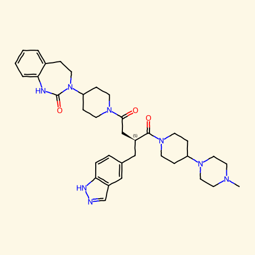 CN1CCN(C2CCN(C(=O)[C@H](CC(=O)N3CCC(N4CCc5ccccc5NC4=O)CC3)Cc3ccc4[nH]ncc4c3)CC2)CC1